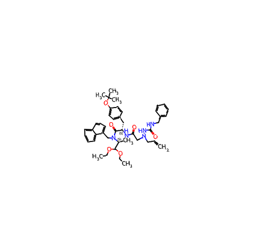 C=CCN(CC(=O)N[C@@H](Cc1ccc(OC(C)(C)C)cc1)C(=O)N(Cc1cccc2ccccc12)[C@@H](C)C(OCC)OCC)NC(=O)NCc1ccccc1